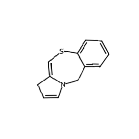 C1=CN2Cc3ccccc3SC=C2C1